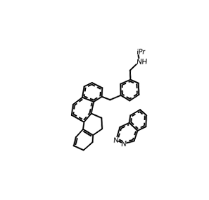 CC(C)NCc1cccc(Cc2cccc3ccc4c(c23)CCC2=C4C=CCC2)c1.c1ccc2cnncc2c1